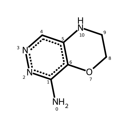 Nc1nncc2c1OCCN2